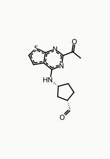 CC(=O)c1nc(N[C@@H]2CC[C@H](C=O)C2)c2ccsc2n1